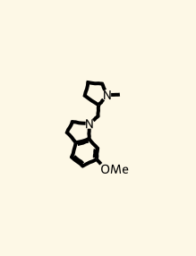 COc1ccc2c(c1)N(CC1CCCN1C)CC2